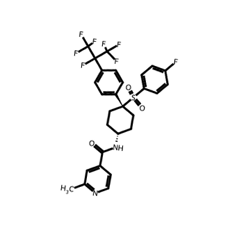 Cc1cc(C(=O)N[C@H]2CC[C@@](c3ccc(C(F)(C(F)(F)F)C(F)(F)F)cc3)(S(=O)(=O)c3ccc(F)cc3)CC2)ccn1